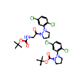 CC(C)(C)OC(=O)N1CCCN1c1cc(Cl)ccc1Cl.CC(C)(C)OC(=O)NCC(=O)N1CCCN1c1cc(Cl)ccc1Cl